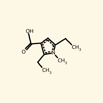 CCc1cc(C(=O)O)c(CC)n1C